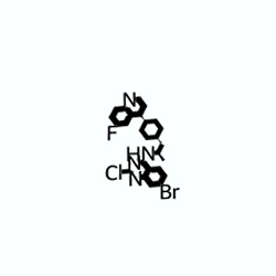 C[C@H](C[C@H]1CC[C@@H](c2ccnc3ccc(F)cc32)CC1)Nc1nc(Cl)nc2cc(Br)ccc12